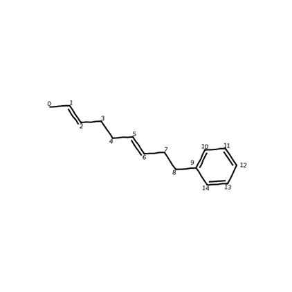 CC=CCCC=CCCc1ccccc1